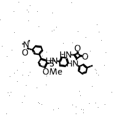 COc1ccc(-c2cccc(C(=O)N(C)C)c2)cc1SNc1cccc(Nc2c(Nc3cccc(C)c3)c(=O)c2=O)c1